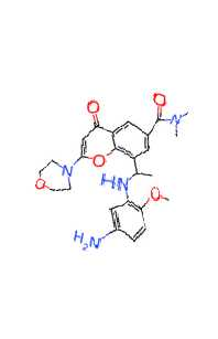 COc1ccc(N)cc1NC(C)c1cc(C(=O)N(C)C)cc2c(=O)cc(N3CCOCC3)oc12